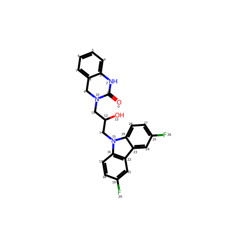 O=C1Nc2ccccc2CN1CC(O)Cn1c2ccc(F)cc2c2cc(F)ccc21